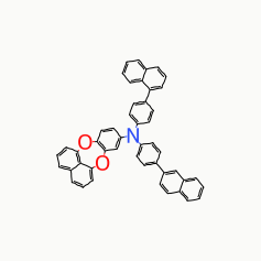 c1ccc2cc(-c3ccc(N(c4ccc(-c5cccc6ccccc56)cc4)c4ccc5c(c4)Oc4cccc6cccc(c46)O5)cc3)ccc2c1